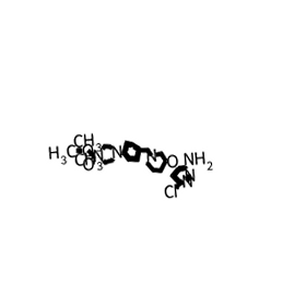 CC(C)(C)OC(=O)N1CCN(c2ccc(CN3CCCC(Oc4cc(Cl)nnc4N)C3)cc2)CC1